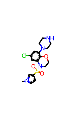 Cn1ccc(S(=O)(=O)N2CCOc3c(N4CCNCC4)cc(Cl)cc32)c1